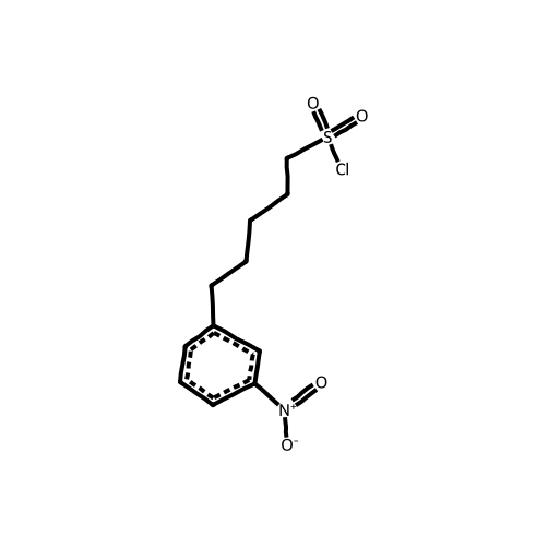 O=[N+]([O-])c1cccc(CCCCCS(=O)(=O)Cl)c1